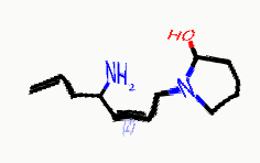 C=CCC(N)/C=C\CN1CCCC1O